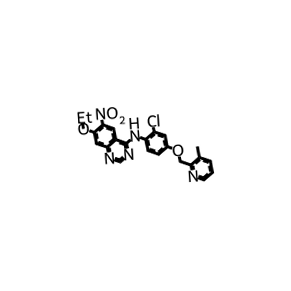 CCOc1cc2ncnc(Nc3ccc(OCc4ncccc4C)cc3Cl)c2cc1[N+](=O)[O-]